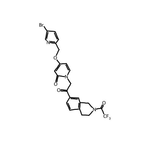 O=C(Cn1ccc(OCc2ccc(Br)cn2)cc1=O)c1ccc2c(c1)CN(C(=O)C(F)(F)F)CC2